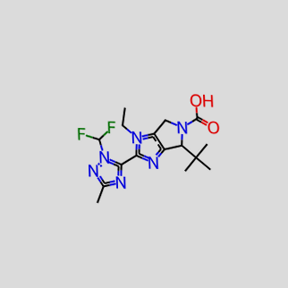 CCn1c(-c2nc(C)nn2C(F)F)nc2c1CN(C(=O)O)C2C(C)(C)C